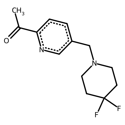 CC(=O)c1ccc(CN2CCC(F)(F)CC2)cn1